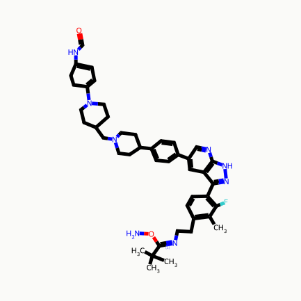 Cc1c(CC/N=C(\ON)C(C)(C)C)ccc(-c2n[nH]c3ncc(-c4ccc(C5CCN(CC6CCN(C7=CC=C(NC=O)CC7)CC6)CC5)cc4)cc23)c1F